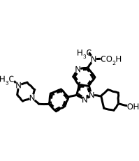 CN1CCN(Cc2ccc(-c3nn(C4CCC(O)CC4)c4cc(N(C)C(=O)O)ncc34)cc2)CC1